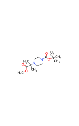 COC(=O)C(C)(C)N1CCN(C(=O)OC(C)(C)C)CC1